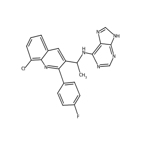 CC(Nc1ncnc2[nH]cnc12)c1cc2cccc(Cl)c2nc1-c1ccc(F)cc1